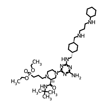 CCOP(=O)(CCCN1CCN(c2nc(N)nc(NC[C@H]3CC[C@H](CNCCCNC4CCCCC4)CC3)n2)C[C@H]1C(=O)NC(C)(C)C)OCC